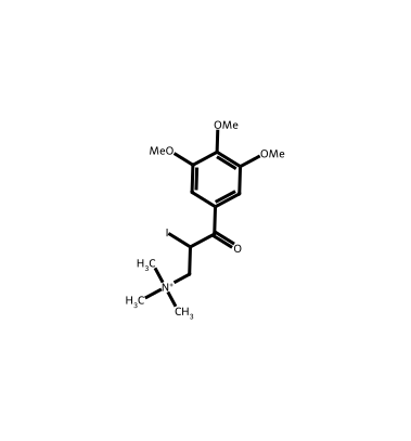 COc1cc(C(=O)C(I)C[N+](C)(C)C)cc(OC)c1OC